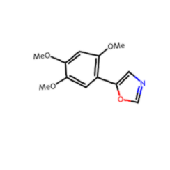 COc1cc(OC)c(-c2cnco2)cc1OC